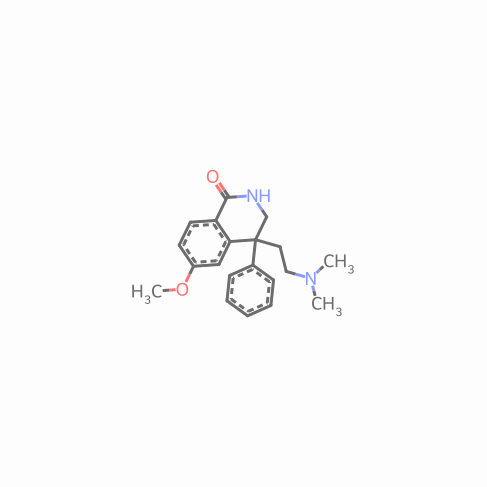 COc1ccc2c(c1)C(CCN(C)C)(c1ccccc1)CNC2=O